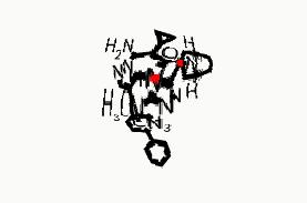 CN(C)c1nnc(C(=O)N2[C@@H]3CC[C@H]2C[C@H](c2nc4c(-c5ccc(-c6ccccc6)nc5)cnn4c(N)c2C2CC2)C3)[nH]1